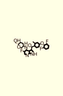 Cc1cc(Oc2c(F)cccc2F)ccc1C(=O)c1c[nH]c2ncc(F)c(N[C@@H]3CC[C@@H](CO)OC3)c12